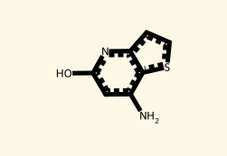 Nc1cc(O)nc2ccsc12